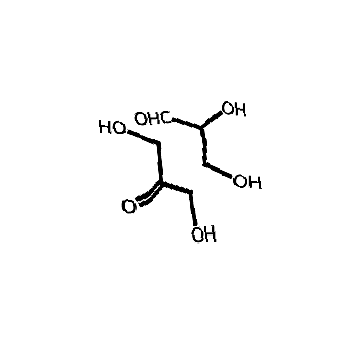 O=C(CO)CO.O=CC(O)CO